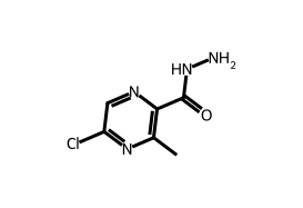 Cc1nc(Cl)cnc1C(=O)NN